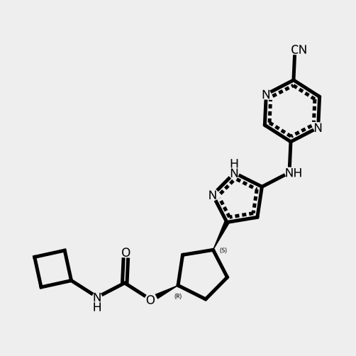 N#Cc1cnc(Nc2cc([C@H]3CC[C@@H](OC(=O)NC4CCC4)C3)n[nH]2)cn1